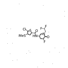 CSc1cc(C(=O)Nc2cc(F)c(=O)n(CC(F)F)c2)sc1Cl